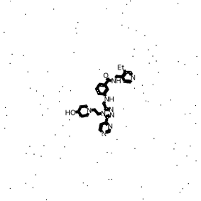 CCc1cnccc1CNC(=O)c1cccc(NCc2nnc(-c3ccncn3)n2CCN2CCC(O)CC2)c1